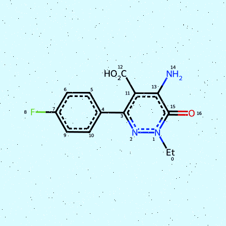 CCn1nc(-c2ccc(F)cc2)c(C(=O)O)c(N)c1=O